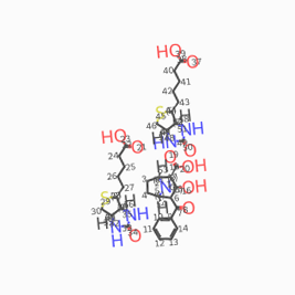 CN1[C@@H]2CC[C@H]1C(C(=O)c1ccccc1)[C@H](O)[C@@H]2C(=O)O.O=C(O)CCCC[C@@H]1SC[C@@H]2NC(=O)N[C@@H]21.O=C(O)CCCC[C@@H]1SC[C@@H]2NC(=O)N[C@@H]21